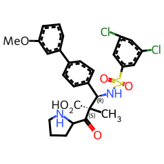 COc1cccc(-c2ccc([C@@H](NS(=O)(=O)c3cc(Cl)cc(Cl)c3)[C@](C)(C(=O)O)C(=O)C3CCCN3)cc2)c1